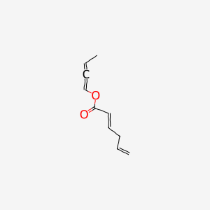 C=CCC=CC(=O)OC=C=CC